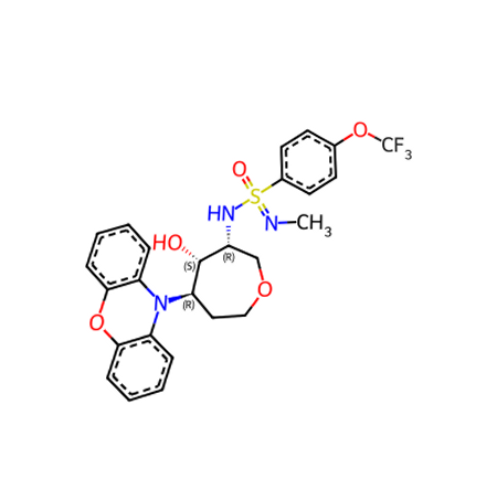 CN=S(=O)(N[C@@H]1COCC[C@@H](N2c3ccccc3Oc3ccccc32)[C@@H]1O)c1ccc(OC(F)(F)F)cc1